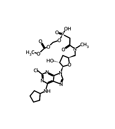 COC(=O)OCOP(=O)(O)CC(=O)N(C)C[C@@H]1C[C@@H](O)[C@H](n2cnc3c(NC4CCCC4)nc(Cl)nc32)O1